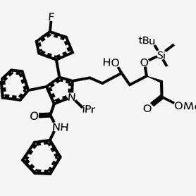 COC(=O)C[C@@H](CC(O)CCc1c(-c2ccc(F)cc2)c(-c2ccccc2)c(C(=O)Nc2ccccc2)n1C(C)C)O[Si](C)(C)C(C)(C)C